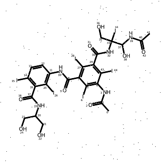 CC(=O)Nc1c(I)c(C(=O)Nc2ccc(I)c(C(=O)NC(CO)CO)c2I)c(I)c(C(=O)NC(I)(CO)C(O)NC(C)=O)c1I